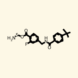 CC(C)(C)c1ccc(C(=O)NCc2ccc(C(=O)OSN)c(F)c2)cc1